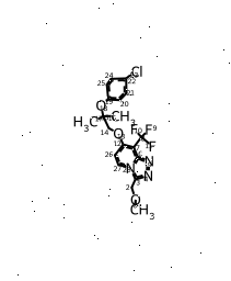 COCc1nnc2c(C(F)(F)F)c(OCC(C)(C)Oc3ccc(Cl)cc3)ccn12